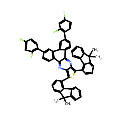 CC1(C)c2ccccc2-c2c(-c3sc(-c4cccc5c4-c4ccccc4C5(C)C)c4nc5c6ccc(-c7ccc(F)cc7F)cc6c6cc(-c7ccc(F)cc7F)ccc6c5nc34)cccc21